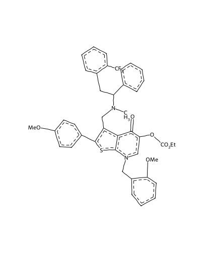 CCOC(=O)Oc1cn(Cc2ccccc2OC)c2sc(-c3ccc(OC)cc3)c(CN(C)C(Cc3ccccc3C(F)(F)F)c3ccccc3)c2c1=O